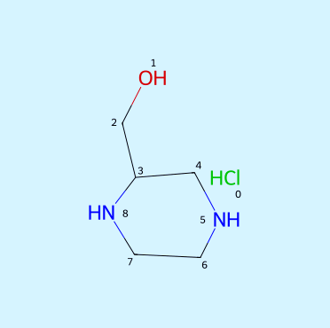 Cl.OCC1CNCCN1